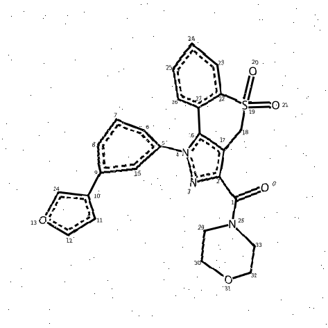 O=C(c1nn(-c2cccc(-c3ccoc3)c2)c2c1CS(=O)(=O)c1ccccc1-2)N1CCOCC1